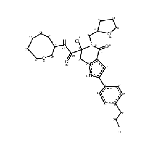 O=C1c2cc(-c3ccc(CCI)cc3)nn2CC(Cl)(C(=O)NC2CCCCCCC2)N1CC1CCCO1